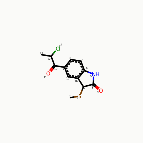 CSC1C(=O)Nc2ccc(C(=O)C(C)Cl)cc21